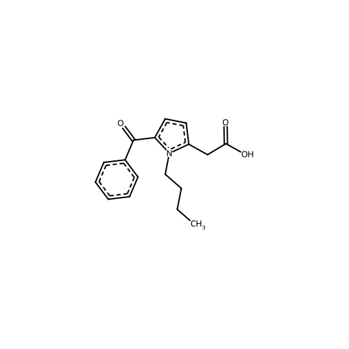 CCCCn1c(CC(=O)O)ccc1C(=O)c1ccccc1